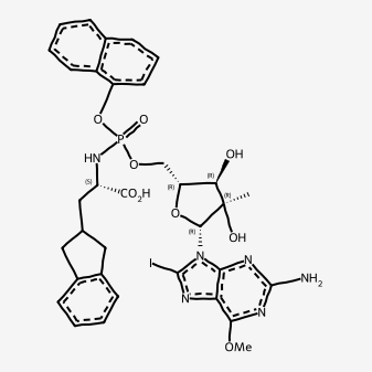 COc1nc(N)nc2c1nc(I)n2[C@@H]1O[C@H](COP(=O)(N[C@@H](CC2Cc3ccccc3C2)C(=O)O)Oc2cccc3ccccc23)[C@@H](O)[C@@]1(C)O